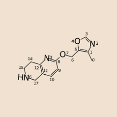 Cc1ncoc1COc1ccc2c(n1)CCNC2